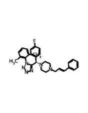 Cc1cccc(C)c1-n1nnnc1[C@H](c1ccc(F)cc1)N1CCN(C/C=C/c2ccccc2)CC1